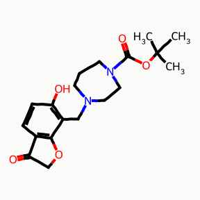 CC(C)(C)OC(=O)N1CCCN(Cc2c(O)ccc3c2OCC3=O)CC1